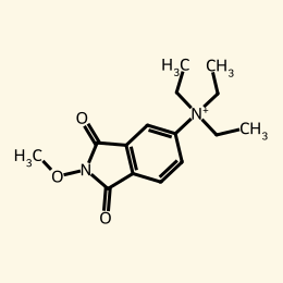 CC[N+](CC)(CC)c1ccc2c(c1)C(=O)N(OC)C2=O